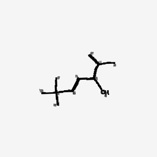 CC(C)C(O)CCC(C)(C)C